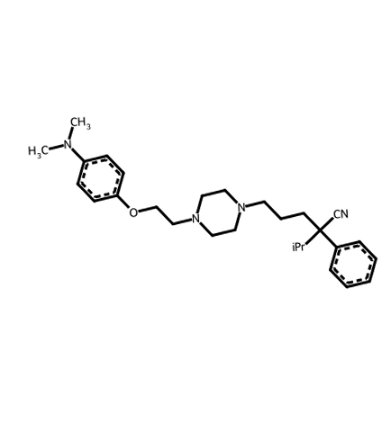 CC(C)C(C#N)(CCCN1CCN(CCOc2ccc(N(C)C)cc2)CC1)c1ccccc1